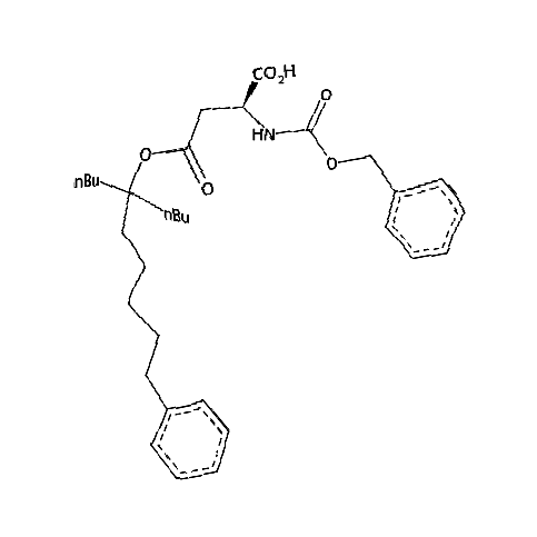 CCCCC(CCCC)(CCCCCc1ccccc1)OC(=O)C[C@H](NC(=O)OCc1ccccc1)C(=O)O